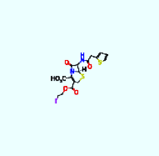 O=C(Cc1cccs1)NC1C(=O)N2C(C(=O)O)=C(C(=O)OCCI)CS[C@H]12